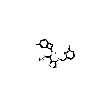 O=c1cccc(CSc2nonc2C(=NO)NC2Cc3ccc(F)cc32)[nH]1